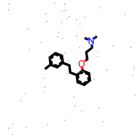 Cc1cccc(CCc2ccccc2OCCCN(C)C)c1